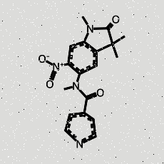 CN(C(=O)c1ccncc1)c1cc2c(cc1[N+](=O)[O-])N(C)C(=O)C2(C)C